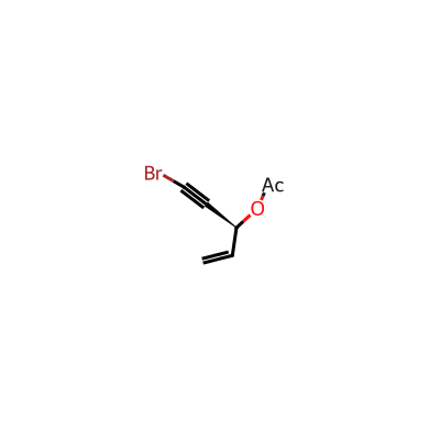 C=C[C@@H](C#CBr)OC(C)=O